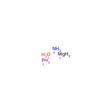 N.O.P.[MgH2]